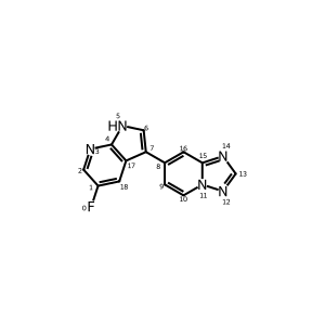 Fc1cnc2[nH]cc(-c3ccn4ncnc4c3)c2c1